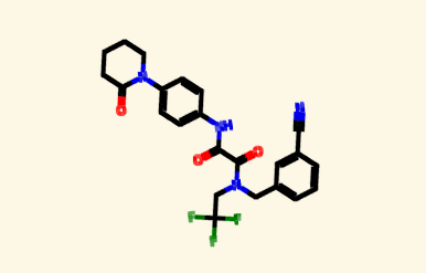 N#Cc1cccc(CN(CC(F)(F)F)C(=O)C(=O)Nc2ccc(N3CCCCC3=O)cc2)c1